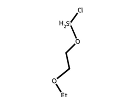 CCOCCO[SiH2]Cl